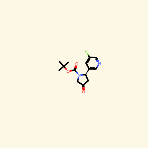 CC(C)(C)OC(=O)N1CC(=O)C[C@@H]1c1cncc(F)c1